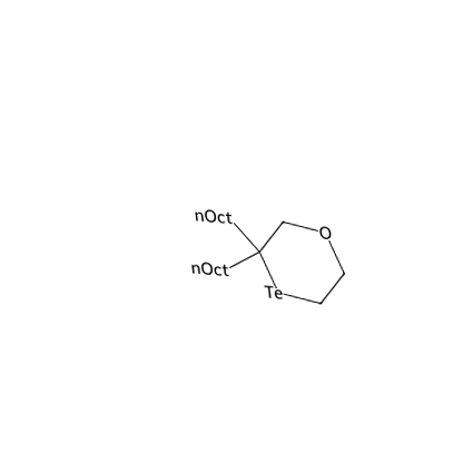 CCCCCCCCC1(CCCCCCCC)COCC[Te]1